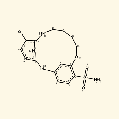 NS(=O)(=O)c1ccc2cc1OCCCCNc1nc(ncc1Br)N2